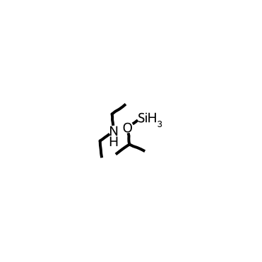 CC(C)O[SiH3].CCNCC